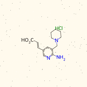 Cl.Nc1ncc(C=CC(=O)O)cc1CN1CCCCC1